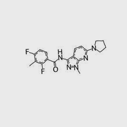 Cc1c(F)ccc(C(=O)Nc2nn(C)c3nc(N4CCCC4)ccc23)c1F